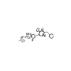 C=C(Cl)/N=C\C=C(/N)Oc1ccc(-c2cnc(Cc3ccccc3)n(C)c2=O)cc1F